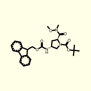 CON(C)C(=O)[C@@H]1C[C@@H](NC(=O)OCC2c3ccccc3-c3ccccc32)CN1C(=O)OC(C)(C)C